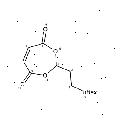 CCCCCCCCC1OC(=O)C=CC(=O)O1